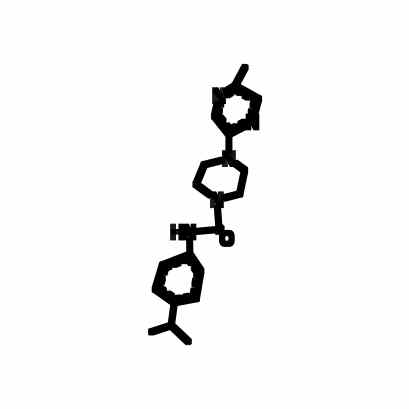 Cc1cnc(N2CCN(C(=O)Nc3ccc(C(C)C)cc3)CC2)cn1